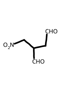 O=CCC(C=O)C[N+](=O)[O-]